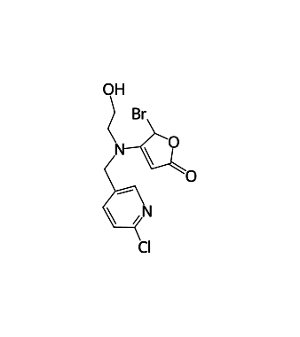 O=C1C=C(N(CCO)Cc2ccc(Cl)nc2)C(Br)O1